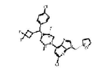 C[C@@H]1CN(c2cc(Cl)nc3c2ncn3C[C@@H]2CCCO2)[C@@H](C)CN1C(c1ccc(Cl)cc1)C1CC(F)(F)C1